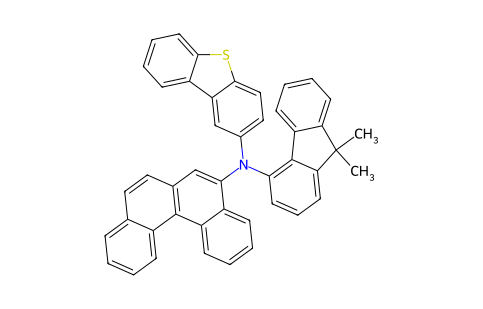 CC1(C)c2ccccc2-c2c(N(c3ccc4sc5ccccc5c4c3)c3cc4ccc5ccccc5c4c4ccccc34)cccc21